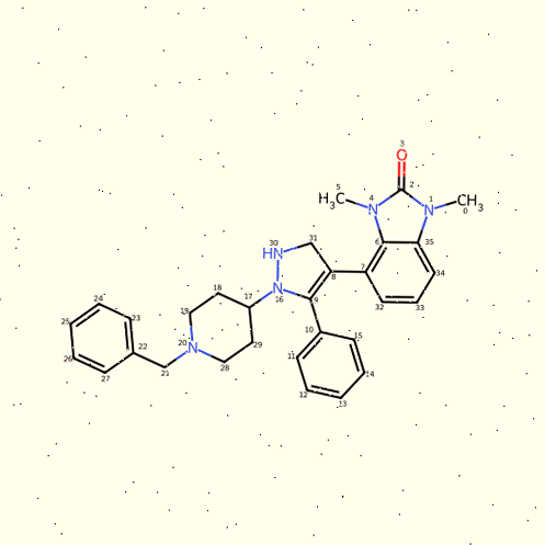 Cn1c(=O)n(C)c2c(C3=C(c4ccccc4)N(C4CCN(Cc5ccccc5)CC4)NC3)cccc21